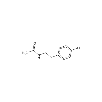 CC(=O)NCCc1ccc(Cl)cc1